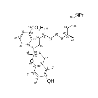 Cc1c(C)c2c(c(C)c1O)CC[C@@](C)(CCC[C@H](C)CCC[C@H](C)CCCC(C)C)O2.O=C(O)c1cccnc1